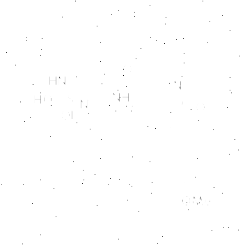 COc1ccc(C(C)(C)CC(=O)N2CCCC(COc3cccc4c3C(N)=NS(O)(O)N4)C2)cc1